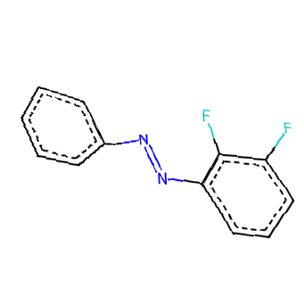 Fc1cccc(N=Nc2ccccc2)c1F